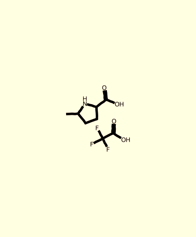 CC1CCC(C(=O)O)N1.O=C(O)C(F)(F)F